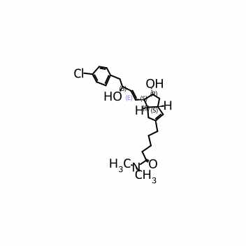 CN(C)C(=O)CCCCC1=C[C@H]2C[C@@H](O)[C@H](/C=C/[C@@H](O)Cc3ccc(Cl)cc3)[C@H]2C1